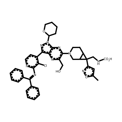 Cc1cc(C2(CNC(=O)O)C3CCN(c4nc5c(nc4CO)c(-c4ccnc(N=C(c6ccccc6)c6ccccc6)c4Cl)nn5C4CCCCO4)CC32)no1